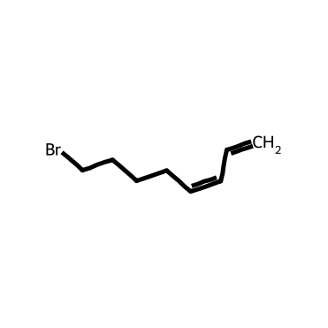 C=C/C=C\CCCCBr